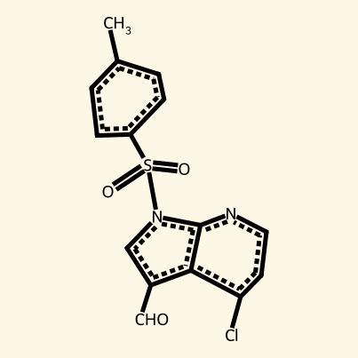 Cc1ccc(S(=O)(=O)n2cc(C=O)c3c(Cl)ccnc32)cc1